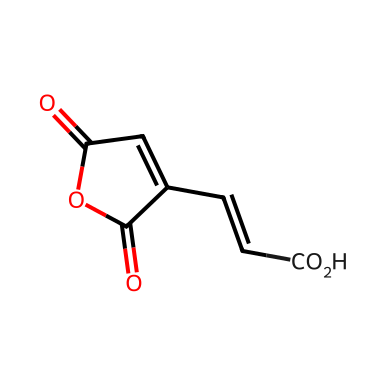 O=C(O)C=CC1=CC(=O)OC1=O